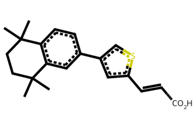 CC1(C)CCC(C)(C)c2cc(-c3csc(/C=C/C(=O)O)c3)ccc21